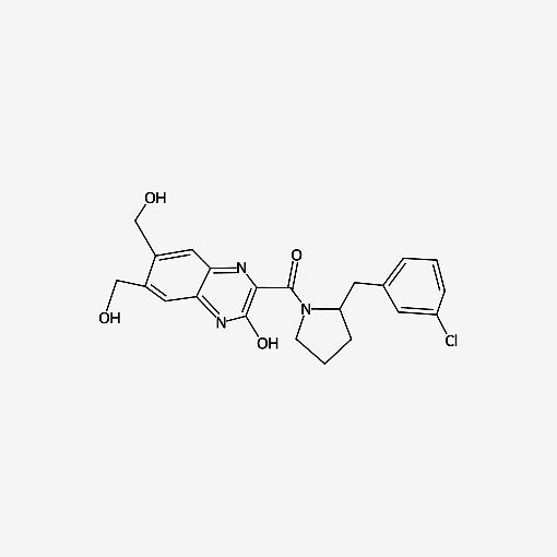 O=C(c1nc2cc(CO)c(CO)cc2nc1O)N1CCCC1Cc1cccc(Cl)c1